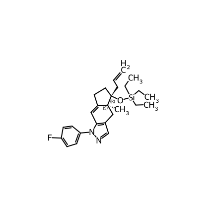 C=CC[C@]1(O[Si](CC)(CC)CC)CCC2=Cc3c(cnn3-c3ccc(F)cc3)C[C@@]21C